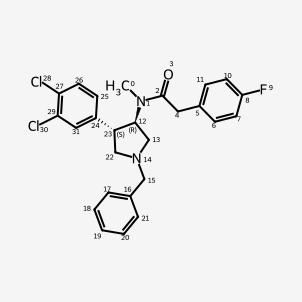 CN(C(=O)Cc1ccc(F)cc1)[C@H]1CN(Cc2ccccc2)C[C@@H]1c1ccc(Cl)c(Cl)c1